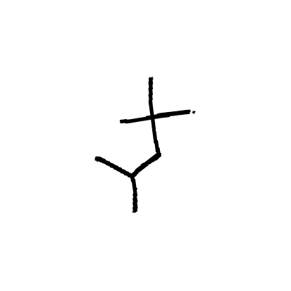 [CH2]C(C)(C)CC(C)C